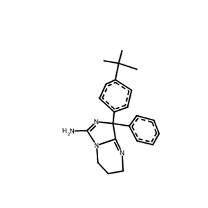 CC(C)(C)c1ccc(C2(c3ccccc3)N=C(N)N3CCCN=C32)cc1